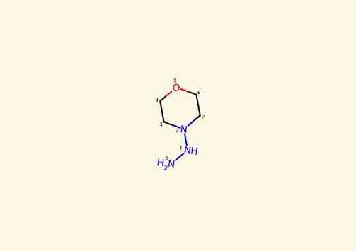 NNN1CCOCC1